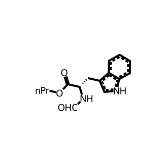 CCCOC(=O)[C@H](Cc1c[nH]c2ccccc12)NC=O